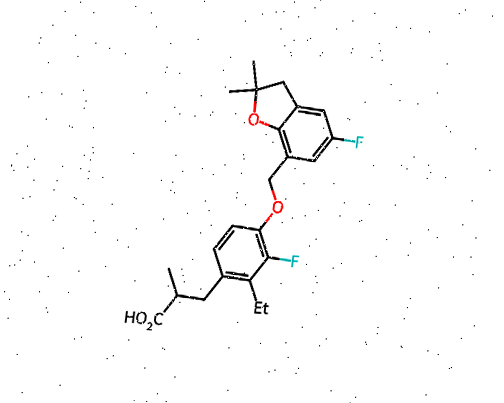 CCc1c(CC(C)C(=O)O)ccc(OCc2cc(F)cc3c2OC(C)(C)C3)c1F